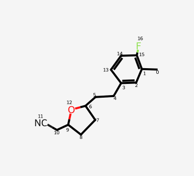 Cc1cc(CCC2CCC(CC#N)O2)ccc1F